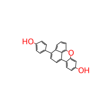 Oc1ccc(-c2ccc3c4c(cccc24)Oc2cc(O)ccc2-3)cc1